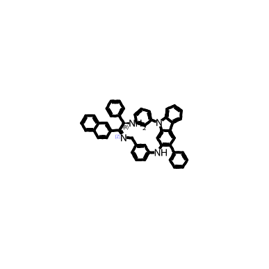 N[C@@H](/C(=N\Cc1cccc(Nc2cc3c(cc2-c2ccccc2)c2ccccc2n3-c2ccccc2)c1)c1ccc2ccccc2c1)c1ccccc1